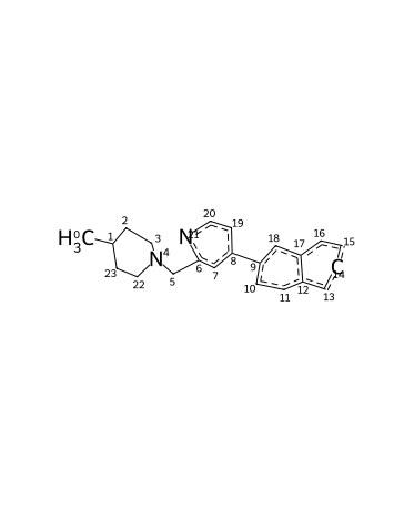 CC1CCN(Cc2cc(-c3ccc4ccccc4c3)ccn2)CC1